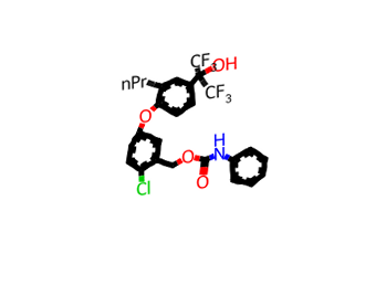 CCCc1cc(C(O)(C(F)(F)F)C(F)(F)F)ccc1Oc1ccc(Cl)c(COC(=O)Nc2ccccc2)c1